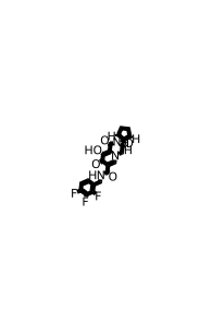 C[C@H]1[C@@H]2CC[C@H]1N1C(=O)c3c(O)c(=O)c(C(=O)NCc4ccc(F)c(F)c4F)cn3C[C@@H]1O2